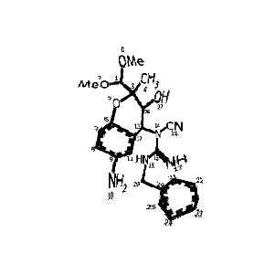 COC(OC)C1(C)Oc2ccc(N)cc2C(N(C#N)C(=N)NCc2ccccc2)C1O